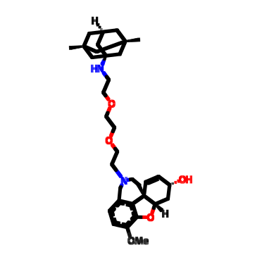 COc1ccc2c3c1O[C@H]1C[C@@H](O)C=C[C@@]31CCN(CCOCCOCCN[C@]13C[C@@H]4C[C@@](C)(C[C@@](C)(C4)C1)C3)C2